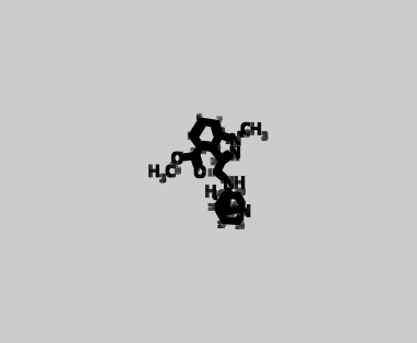 COC(=O)c1cccc2c1c(CN[C@H]1CN3CCC1CC3)nn2C